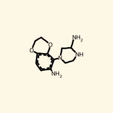 Nc1ccc2c(c1N1CCNC(N)C1)OCCO2